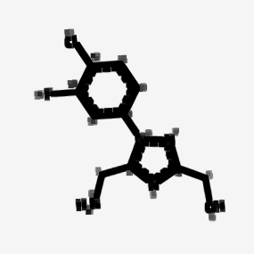 NCc1nc(CO)nn1-c1ccc(Cl)c(F)c1